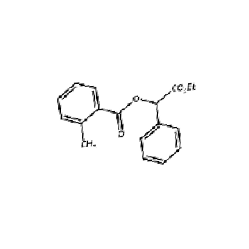 CCOC(=O)C(OC(=O)c1ccccc1C)c1ccccc1